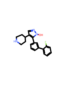 On1ncc(C2CCNCC2)c1-c1cccc(-c2ccccc2F)c1